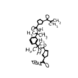 C=C(C)C(=O)C1CCC(C(=O)NC(C)(C)c2cccc(C(C)(C)NC(=O)C3CCC(C(=O)C(C)(C)C)C3)c2)C1